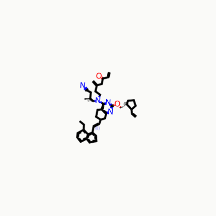 C=CC(=O)CC(=C)CCN(C[C@@H](C)CC#N)c1nc(OC[C@@H]2CCCC2C=C)nc2c1CCC(/C=C/c1cccc3cccc(CC)c13)C2